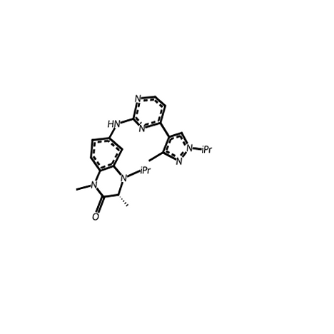 Cc1nn(C(C)C)cc1-c1ccnc(Nc2ccc3c(c2)N(C(C)C)[C@H](C)C(=O)N3C)n1